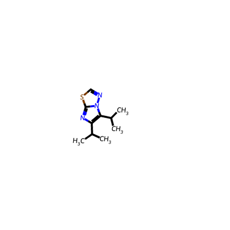 CC(C)c1nc2scnn2c1C(C)C